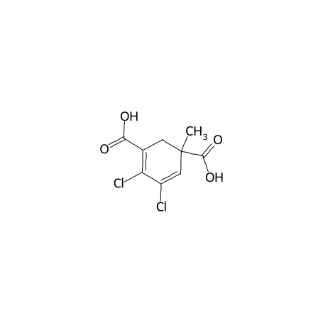 CC1(C(=O)O)C=C(Cl)C(Cl)=C(C(=O)O)C1